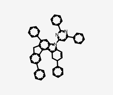 C1=CC(c2ccccc2)Cc2c1n(-c1cc(-c3ccccc3)nc(-c3ccccc3)n1)c1cc(-c3ccccc3)c3c(c21)-c1cc(-c2ccccc2)ccc1C3